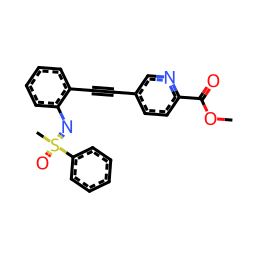 COC(=O)c1ccc(C#Cc2ccccc2N=S(C)(=O)c2ccccc2)cn1